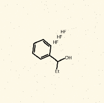 CCC(O)c1ccccc1.F.F.F